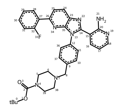 CC(C)(C)OC(=O)N1CCN(Cc2ccc(-n3c(-c4cccnc4N)nc4ccc(-c5ccccc5F)nc43)cc2)CC1